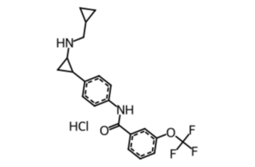 Cl.O=C(Nc1ccc(C2CC2NCC2CC2)cc1)c1cccc(OC(F)(F)F)c1